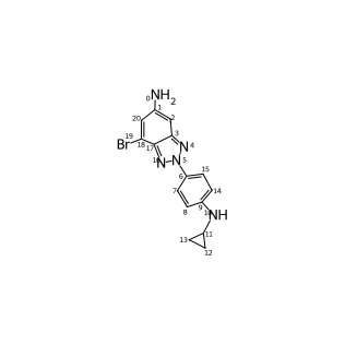 Nc1[c]c2nn(-c3ccc(NC4CC4)cc3)nc2c(Br)c1